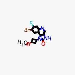 COC1CC(n2c(=O)[nH]c3cnc4cc(F)c(Br)cc4c32)C1